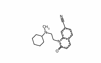 CN(CCn1c(=O)ccc2ccc(C#N)cc21)C1CCCCC1